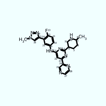 CC1CCC(c2nc(Nc3ccc(F)c(-c4cn(C)nn4)c3)cc(-c3cnccn3)n2)CN1